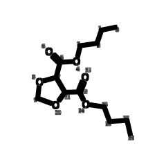 CCCCOC(=O)C1OCOC1C(=O)OCCCC